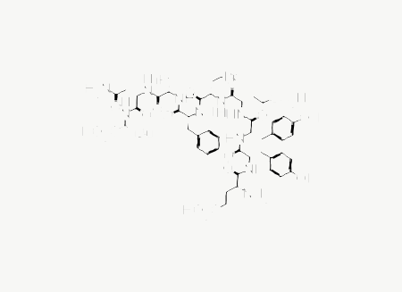 CC[C@H](C)[C@H](NC(=O)[C@H](CC(N)=O)NC(=O)[C@@H](NC(=O)[C@H](Cc1ccccc1)NC(=O)[C@H](CC(C)C)NC(=O)[C@H](CCC(=O)O)NC(=O)[C@H](Cc1ccc(O)cc1)NC(=O)[C@H](Cc1ccc(O)cc1)NC(=O)[C@@H](N)CCC(=O)O)C(C)C)C(=O)O